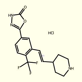 Cl.O=c1[nH]nc(-c2ccc(C(F)(F)F)c(/C=C/C3CCNCC3)c2)o1